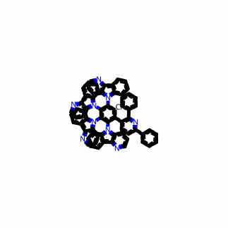 N#Cc1c(-c2ccc(-c3ccccc3)nc2-c2ccccc2)c(-n2c3ccccc3c3ncccc32)c(-n2c3ccccc3c3ncccc32)c(-n2c3ccccc3c3ncccc32)c1-n1c2ccccc2c2ncccc21